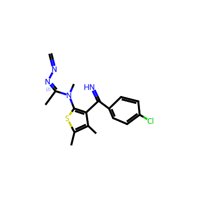 C=N/N=C(/C)N(C)c1sc(C)c(C)c1C(=N)c1ccc(Cl)cc1